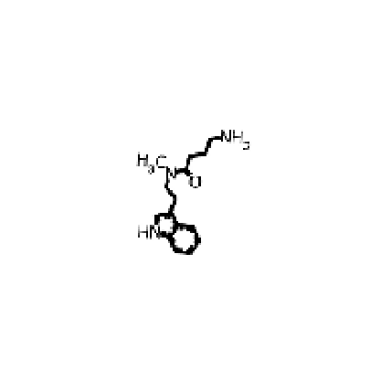 CN(CCc1c[nH]c2ccccc12)C(=O)CCCN